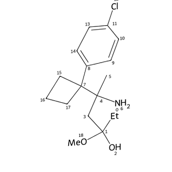 CCC(O)(CC(C)(N)C1(c2ccc(Cl)cc2)CCC1)OC